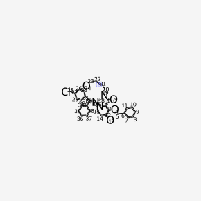 O=C1c2c(OCc3ccccc3)c(=O)ccn2N2CN1C/C=C\COc1cc(Cl)ccc1[C@@H]2c1ccccc1